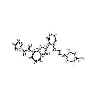 CC(C)N1CCN(CCOc2ccccc2-c2nc3c(C(=O)Nc4nccs4)cccc3[nH]2)CC1